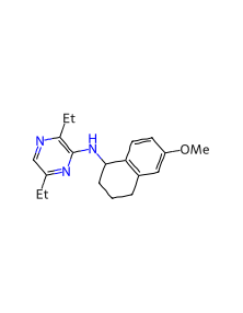 CCc1cnc(CC)c(NC2CCCc3cc(OC)ccc32)n1